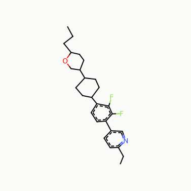 CCCC1CCC(C2CCC(c3ccc(-c4ccc(CC)nc4)c(F)c3F)CC2)CO1